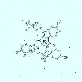 CC12CCC(O)CC1CCC1C2C(O)CC2(C)C(c3ccc(=O)oc3)CCC12O.C[N+](C)(C)CCc1c[nH]c2ccc([O-])cc12